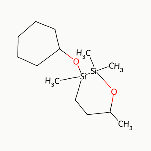 CC1CC[Si](C)(OC2CCCCC2)[Si](C)(C)O1